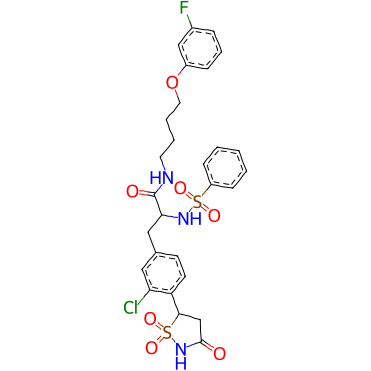 O=C1CC(c2ccc(CC(NS(=O)(=O)c3ccccc3)C(=O)NCCCCOc3cccc(F)c3)cc2Cl)S(=O)(=O)N1